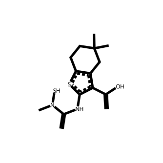 C=C(O)c1c(NC(=C)N(C)S)sc2c1CC(C)(C)CC2